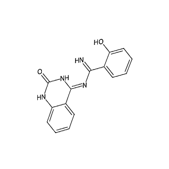 N=C(/N=c1\[nH]c(=O)[nH]c2ccccc12)c1ccccc1O